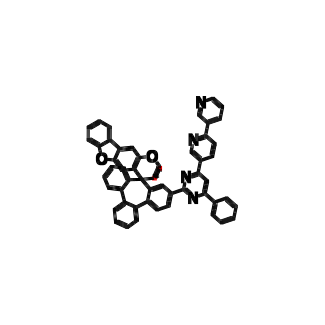 c1ccc(-c2cc(-c3ccc(-c4cccnc4)nc3)nc(-c3ccc4c(c3)C3(c5ccccc5Oc5cc6c(cc53)oc3ccccc36)c3ccccc3-c3ccccc3-4)n2)cc1